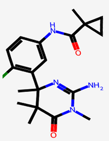 CN1C(=O)C(C)(C)C(C)(c2cc(NC(=O)C3(C)CC3)ccc2F)N=C1N